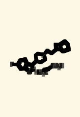 Fc1ccc2c(C3CCN(CCC4=Cc5ccccc54)CC3)noc2c1.O=C(O)C=CC(=O)O